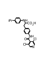 CC(C)c1ccc(NC(Cc2ccc(NC(=O)c3c(Cl)cncc3Cl)cc2)C(=O)O)cc1